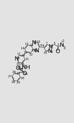 CN(C)C(=O)Cn1cc(-c2cnc3ccc(-c4cncc(NS(=O)(=O)c5ccccc5)c4)cc3n2)cn1